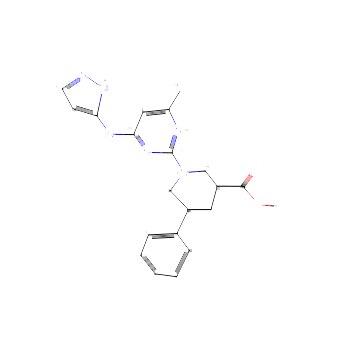 COC(=O)C1CC(c2ccccc2)CN(c2nc(C)cc(Nc3ccn[nH]3)n2)C1